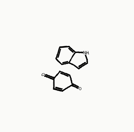 O=C1C=CC(=O)C=C1.c1ccc2[nH]ccc2c1